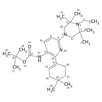 CCN1C(C)(C)CN(c2ccc(NC(=O)OC(C)(C)C)c(C3=CCC(C)(C)CC3)n2)CC1(C)C